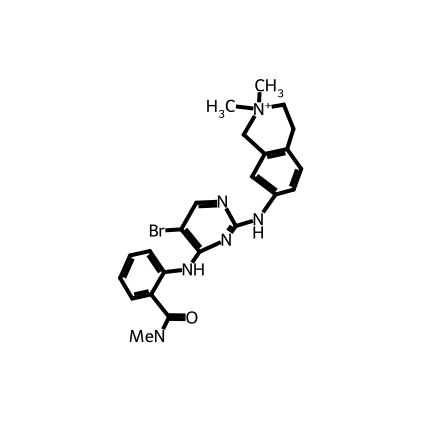 CNC(=O)c1ccccc1Nc1nc(Nc2ccc3c(c2)C[N+](C)(C)CC3)ncc1Br